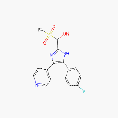 CCS(=O)(=O)C(O)c1nc(-c2ccncc2)c(-c2ccc(F)cc2)[nH]1